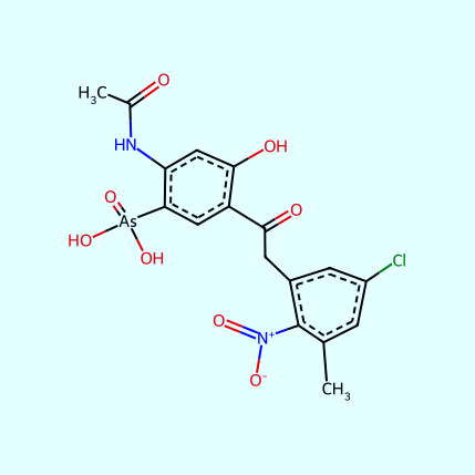 CC(=O)Nc1cc(O)c(C(=O)Cc2cc(Cl)cc(C)c2[N+](=O)[O-])cc1[As](=O)(O)O